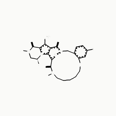 CCN1C[C@H](C)n2c(c(OC)c3c(=O)n4nc(c32)C(=O)N(C)CCCCCOc2cc(F)ccc2C4)C1=O